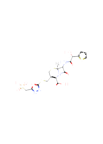 O=C(O)C1=C(CSc2nnc(CS(=O)(=O)O)o2)CS[C@@H]2C(NC(=O)C(O)c3cccs3)C(=O)N12